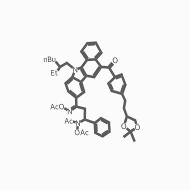 CCCCC(CC)Cn1c2ccc(/C(CC(c3ccccc3)N(OC(C)=O)C(C)=O)=N\OC(C)=O)cc2c2cc(C(=O)c3ccc(CCC4COC(C)(C)O4)cc3)c3ccccc3c21